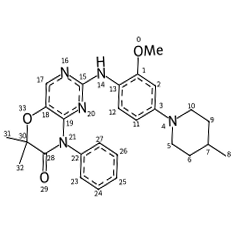 COc1cc(N2CCC(C)CC2)ccc1Nc1ncc2c(n1)N(c1ccccc1)C(=O)C(C)(C)O2